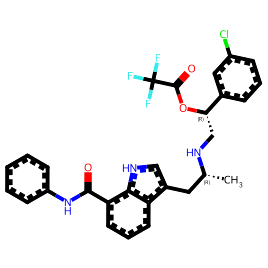 C[C@H](Cc1c[nH]c2c(C(=O)Nc3ccccc3)cccc12)NC[C@H](OC(=O)C(F)(F)F)c1cccc(Cl)c1